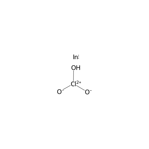 [In].[O-][Cl+2]([O-])O